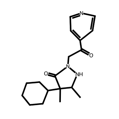 CC1NN(CC(=O)c2ccncc2)C(=O)C1(C)C1CCCCC1